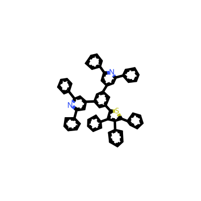 c1ccc(-c2cc(-c3cc(-c4cc(-c5ccccc5)nc(-c5ccccc5)c4)cc(-c4sc(-c5ccccc5)c(-c5ccccc5)c4-c4ccccc4)c3)cc(-c3ccccc3)n2)cc1